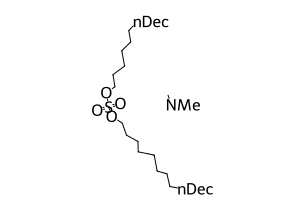 CCCCCCCCCCCCCCCCCCOS(=O)(=O)OCCCCCCCCCCCCCCCC.CNC